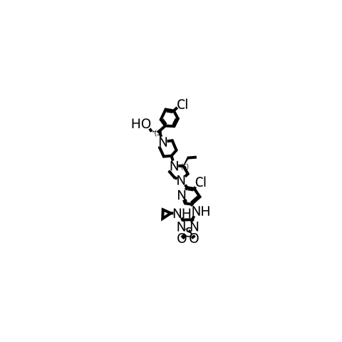 CC[C@H]1CN(c2ncc(NC3=NS(=O)(=O)N=C3NC3CC3)cc2Cl)CCN1C1CCN([C@H](CO)c2ccc(Cl)cc2)CC1